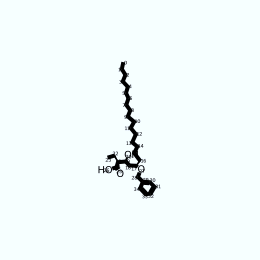 CCCCCCCCCCCCCCCCC[C@H](C[C@H](O)[C@H](CC)C(=O)O)OCc1ccccc1